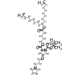 CCCCCCCCC(CCCCCCCC)OC(=O)CCCCOC(=O)[C@@H]1CC(OCCCN2CCCC2)CN1C(=O)OC(C)(C)C